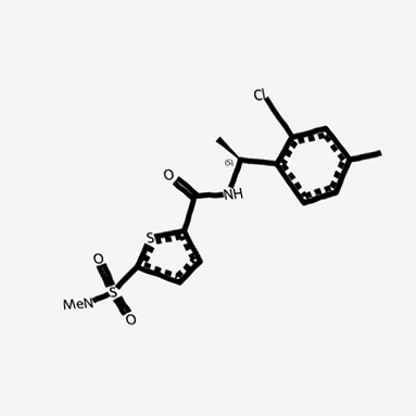 CNS(=O)(=O)c1ccc(C(=O)N[C@@H](C)c2ccc(C)cc2Cl)s1